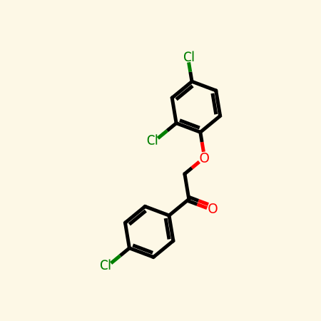 O=C(COc1ccc(Cl)cc1Cl)c1ccc(Cl)cc1